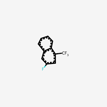 Fc1cc(C(F)(F)F)c2ccccc2c1